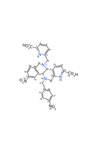 O=C(O)c1cccc(CN(CCN(Cc2ccc([N+](=O)[O-])cc2)Cc2cccc(C(=O)O)n2)Cc2ccc([N+](=O)[O-])cc2)n1